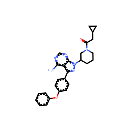 Nc1ncnc2c1c(-c1ccc(Oc3ccccc3)cc1)nn2C1CCCN(C(=O)CC2CC2)C1